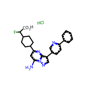 Cl.Nc1cc(C2CCC(C(F)C(=O)O)CC2)nc2c(-c3ccc(-c4ccccc4)nc3)cnn12